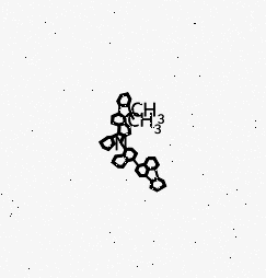 CC1(C)c2ccccc2-c2ccc3c(ccc4c3c3ccccc3n4-c3ccc(-c4ccc5c6c(cccc46)-c4ccccc4-5)c4ccccc34)c21